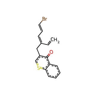 C=C/C(=C\C=C\Br)Cc1csc2ccccc2c1=O